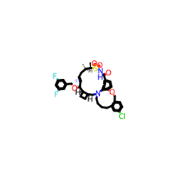 C[C@@H]1[C@@H](C)C/C=C/[C@H](OCc2cc(F)cc(F)c2)[C@@H]2CC[C@H]2CN2CCCCc3cc(Cl)ccc3COc3ccc(cc32)C(=O)NS1(=O)=O